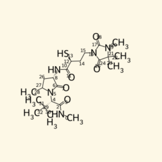 CNC(=O)[C@@H](N1C(=O)[C@@H](NC(=O)[C@@H](S)CCN2C(=O)N(C)C(C)(C)C2=O)CC1C)C(C)(C)C